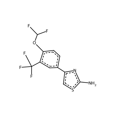 Nc1nc(-c2ccc(OC(F)F)c(C(F)(F)F)c2)cs1